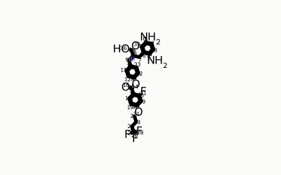 Nc1ccc(N)c(C/C(=C\c2ccc(OC(=O)c3ccc(OCCCC(F)(F)F)cc3F)cc2)C(=O)O)c1